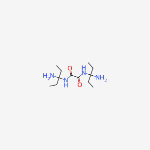 CCC(N)(CC)NC(=O)C(=O)NC(N)(CC)CC